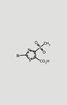 CS(=O)(=O)c1nc(Br)sc1C(=O)O